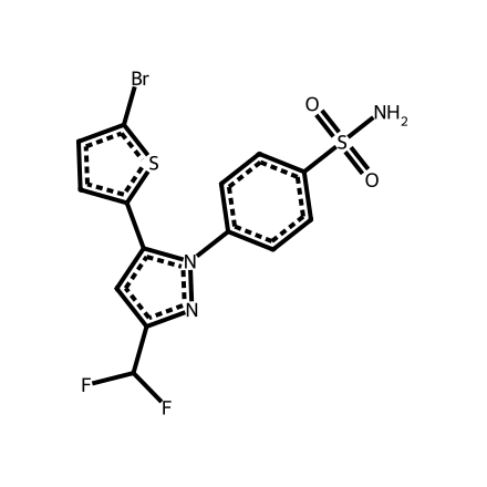 NS(=O)(=O)c1ccc(-n2nc(C(F)F)cc2-c2ccc(Br)s2)cc1